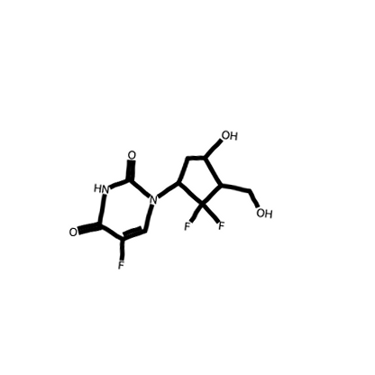 O=c1[nH]c(=O)n(C2CC(O)C(CO)C2(F)F)cc1F